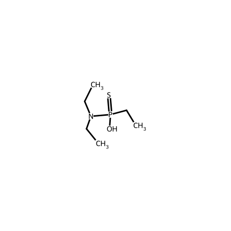 CCN(CC)P(O)(=S)CC